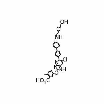 Cc1ccc(Oc2nc3nc(-c4ccc(-c5ccc(CNCCOCCO)cc5)cc4)c(Cl)cc3[nH]2)cc1C(=O)O